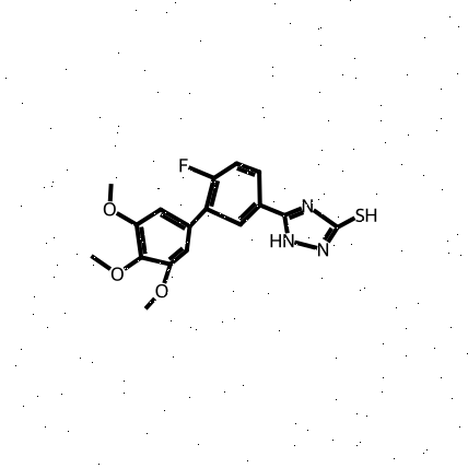 COc1cc(-c2cc(-c3nc(S)n[nH]3)ccc2F)cc(OC)c1OC